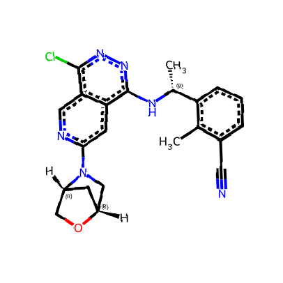 Cc1c(C#N)cccc1[C@@H](C)Nc1nnc(Cl)c2cnc(N3C[C@H]4C[C@@H]3CO4)cc12